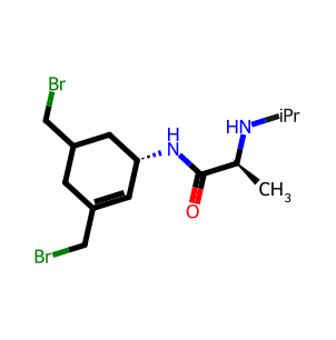 CC(C)N[C@@H](C)C(=O)N[C@@H]1C=C(CBr)CC(CBr)C1